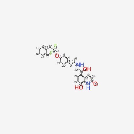 CC(Cc1ccc(OCC(F)(F)Cc2ccccc2)cc1)NC[C@H](O)c1ccc(O)c2[nH]c(=O)ccc12